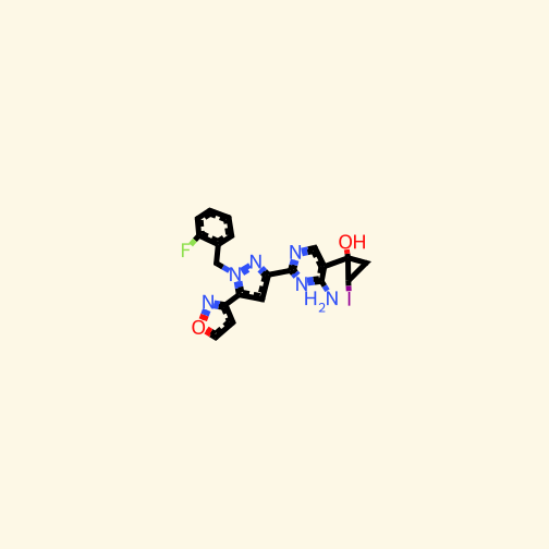 Nc1nc(-c2cc(-c3ccon3)n(Cc3ccccc3F)n2)ncc1C1(O)CC1I